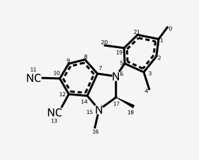 Cc1cc(C)c(N2c3ccc(C#N)c(C#N)c3N(C)[C@@H]2C)c(C)c1